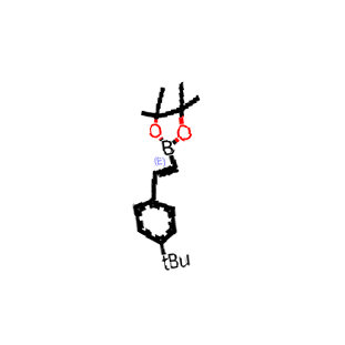 CC(C)(C)c1ccc(/C=C/B2OC(C)(C)C(C)(C)O2)cc1